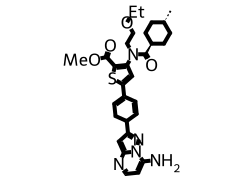 CCOCCN(c1cc(C2=CCC(c3cc4nccc(N)n4n3)C=C2)sc1C(=O)OC)C(=O)[C@H]1CC[C@H](C)CC1